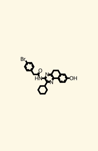 O=C(Cc1ccc(Br)cc1)Nc1nc2c(nc1C1CCCCC1)-c1ccc(O)cc1CC2